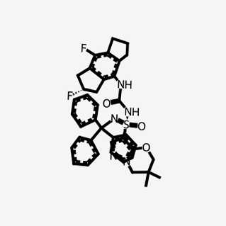 CC1(C)COc2c([S@](=O)(=NC(c3ccccc3)(c3ccccc3)c3ccccc3)NC(=O)Nc3c4c(c(F)c5c3C[C@H](F)C5)CCC4)cnn2C1